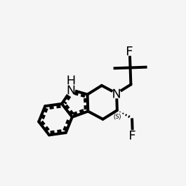 CC(C)(F)CN1Cc2[nH]c3ccccc3c2C[C@H]1CF